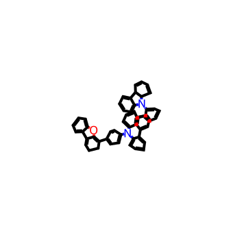 C1=CC2c3ccccc3N(c3ccccc3-c3cccc(N(c4ccc(C5=c6oc7ccccc7c6=CCC5)cc4)c4ccccc4-c4ccccc4)c3)C2C=C1